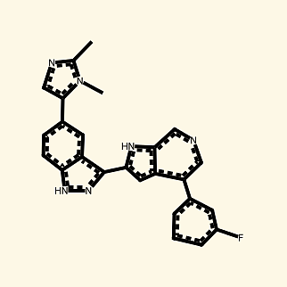 Cc1ncc(-c2ccc3[nH]nc(-c4cc5c(-c6cccc(F)c6)cncc5[nH]4)c3c2)n1C